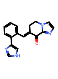 O=C1/C(=C/c2ccccc2-c2c[nH]cn2)CCn2ccnc21